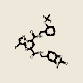 Cn1c(=O)oc2ccc(CNC(=O)c3cc(C(=O)NCc4ccccc4OC(C)(F)F)n4ncc(F)c4n3)cc21